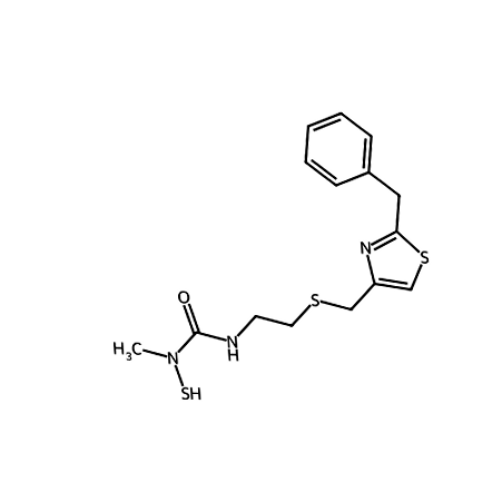 CN(S)C(=O)NCCSCc1csc(Cc2ccccc2)n1